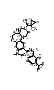 C[C@@H](/N=c1\ncn(C)c2cc3c(cc12)N1CCN(C(=O)C2(C#N)CC2)C[C@H]1CCO3)c1cccc(C(F)F)c1F